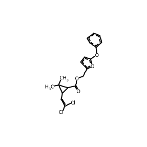 CC1(C)C(C=C(Cl)Cl)C1C(=O)OCc1ccc(Oc2ccccc2)o1